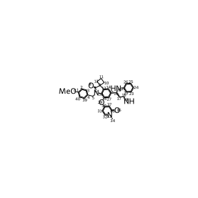 COc1ccc(CN2C(=O)C3(CCC3)c3cc(/C(=C/C=N)Nc4ccccc4)cc(Oc4ccn(C)c(=O)c4)c32)cc1